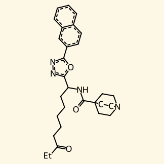 CCC(=O)CCCCCC(NC(=O)C12CCN(CC1)CC2)c1nnc(-c2ccc3ccccc3c2)o1